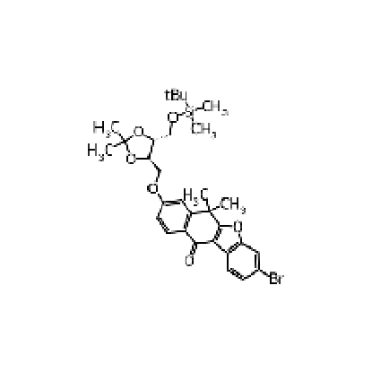 CC1(C)O[C@H](COc2ccc3c(c2)C(C)(C)c2oc4cc(Br)ccc4c2C3=O)[C@@H](CO[Si](C)(C)C(C)(C)C)O1